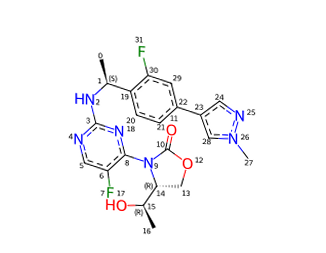 C[C@H](Nc1ncc(F)c(N2C(=O)OC[C@@H]2[C@@H](C)O)n1)c1ccc(-c2cnn(C)c2)cc1F